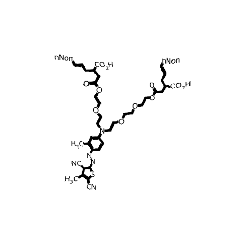 CCCCCCCCC/C=C/CC(CC(=O)OCCOCCOCCN(CCOCCOC(=O)CC(C/C=C/CCCCCCCCC)C(=O)O)c1ccc(/N=N/C2SC(C#N)=C(C)C2C#N)c(C)c1)C(=O)O